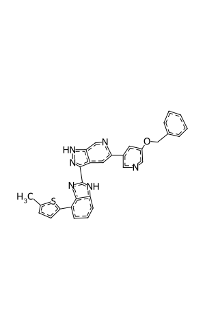 Cc1ccc(-c2cccc3[nH]c(-c4n[nH]c5cnc(-c6cncc(OCc7ccccc7)c6)cc45)nc23)s1